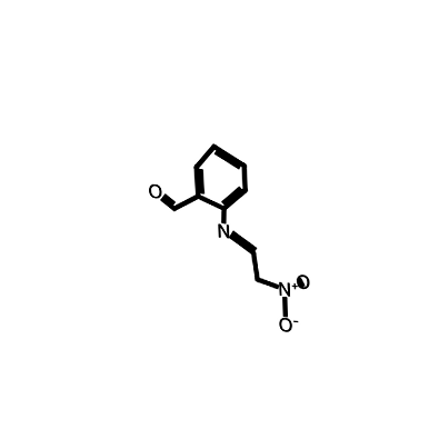 O=Cc1ccccc1N=CC[N+](=O)[O-]